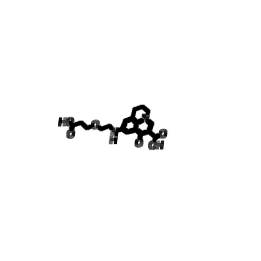 O=C(O)CCOCCNc1cc2c3c(c1)c(=O)c(C(=O)O)cn3CCC2